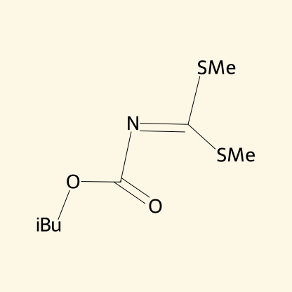 CCC(C)OC(=O)N=C(SC)SC